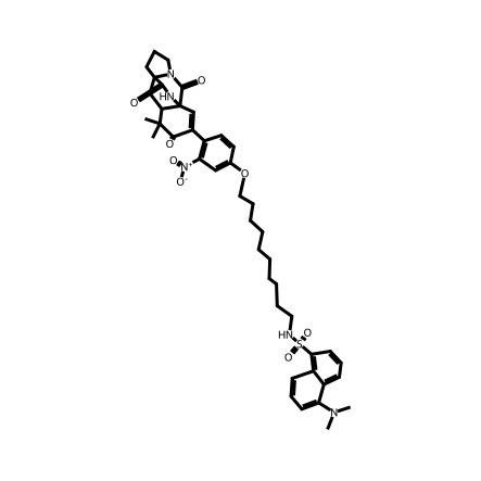 CN(C)c1cccc2c(S(=O)(=O)NCCCCCCCCCCOc3ccc(C4=CC56NC(=O)C7(CCCN7C5=O)CC6C(C)(C)C4=O)c([N+](=O)[O-])c3)cccc12